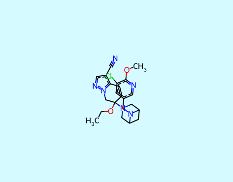 CCOC1(N2CC3CC(C2)N3Cc2cnc(OC)c(Cl)c2)C=Cc2c(C#N)cnn2C1